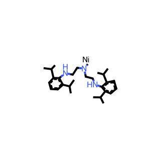 CC(C)c1cccc(C(C)C)c1NCCN(C)CCNc1c(C(C)C)cccc1C(C)C.[Ni]